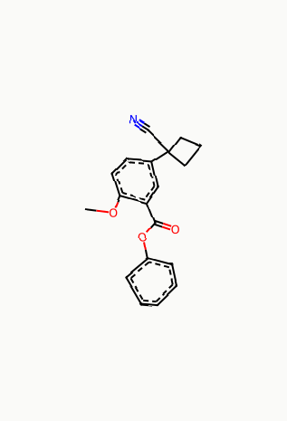 COc1ccc(C2(C#N)CCC2)cc1C(=O)Oc1ccccc1